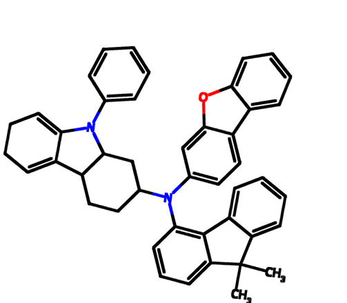 CC1(C)c2ccccc2-c2c(N(c3ccc4c(c3)oc3ccccc34)C3CCC4C5=CCCC=C5N(c5ccccc5)C4C3)cccc21